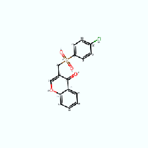 O=c1c(CS(=O)(=O)c2ccc(Cl)cc2)coc2ccccc12